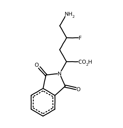 NCC(F)CC(C(=O)O)N1C(=O)c2ccccc2C1=O